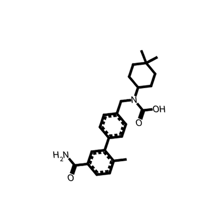 Cc1ccc(C(N)=O)cc1-c1ccc(CN(C(=O)O)C2CCC(C)(C)CC2)cc1